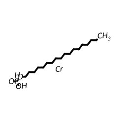 CCCCCCCCCCCCCCCCCCO[PH](=O)O.[Cr]